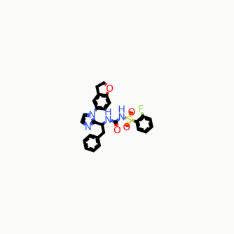 O=C(NC(Cc1ccccc1)c1nccn1-c1ccc2c(c1)CCO2)NS(=O)(=O)c1ccccc1F